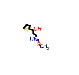 COCNCCC(O)c1cccs1